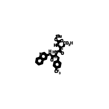 CC(C)(C)OC(=O)N[C@@H](CC(=O)O)C(=O)N[C@@H](Cc1ccc(C(F)(F)F)cc1)C(=O)Nc1cnc2ccccc2c1